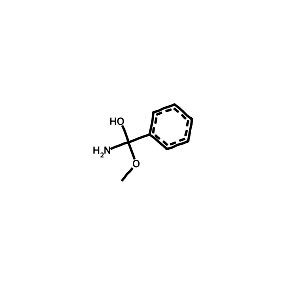 COC(N)(O)c1ccccc1